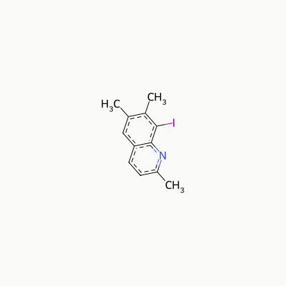 Cc1ccc2cc(C)c(C)c(I)c2n1